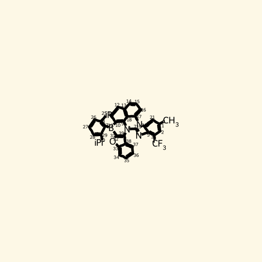 Cc1cc(C(F)(F)F)c2nc3n4c5c(ccc6cccc(c65)n3c2c1)B(c1c(C(C)C)cccc1C(C)C)c1oc2ccccc2c1-4